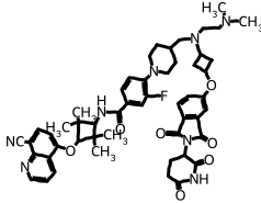 CN(C)CCN(CC1CCN(c2ccc(C(=O)NC3C(C)(C)C(Oc4ccc(C#N)c5ncccc45)C3(C)C)cc2F)CC1)C1CC(Oc2ccc3c(c2)C(=O)N(C2CCC(=O)NC2=O)C3=O)C1